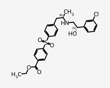 CCOC(=O)c1ccc(S(=O)(=O)c2ccc(C[C@@H](C)NC[C@@H](O)c3cccc(Cl)c3)cc2)cc1